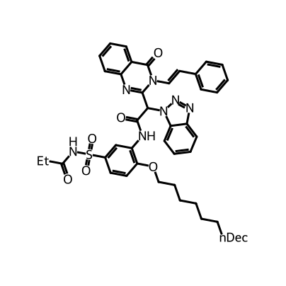 CCCCCCCCCCCCCCCCOc1ccc(S(=O)(=O)NC(=O)CC)cc1NC(=O)C(c1nc2ccccc2c(=O)n1/C=C/c1ccccc1)n1nnc2ccccc21